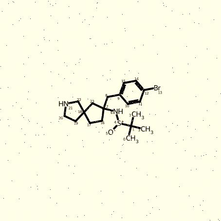 CC(C)(C)[S+]([O-])NC1(Cc2ccc(Br)cc2)CCC2(CCNC2)C1